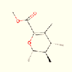 COC(=O)C1=C(C)[C@H](C)[C@@H](C)[C@H](C)O1